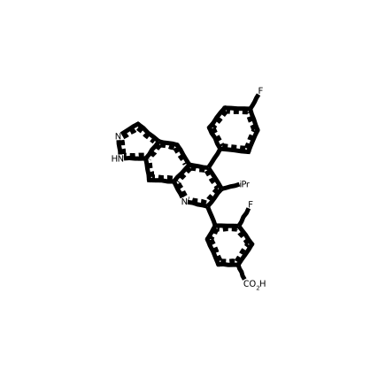 CC(C)c1c(-c2ccc(C(=O)O)cc2F)nc2cc3[nH]ncc3cc2c1-c1ccc(F)cc1